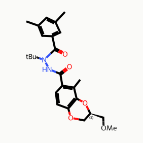 COC[C@H]1COc2ccc(C(=O)NN(C(=O)c3cc(C)cc(C)c3)C(C)(C)C)c(C)c2O1